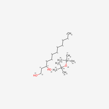 CCCCCCCCCC(O)CCO.C[Si](C)(C)O[Si](C)(C)C